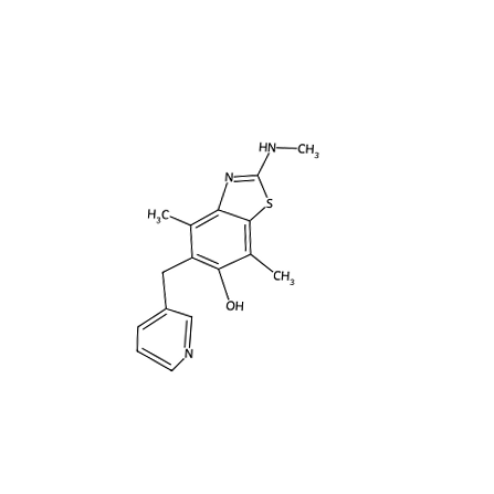 CNc1nc2c(C)c(Cc3cccnc3)c(O)c(C)c2s1